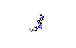 CN1CCC(Nc2ncc3c(-c4ccc5nccn5c4)ccn3n2)CC1